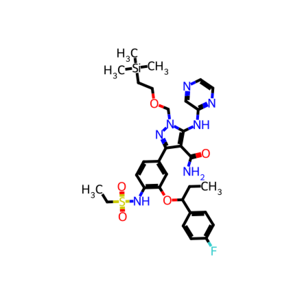 CCC(Oc1cc(-c2nn(COCC[Si](C)(C)C)c(Nc3cnccn3)c2C(N)=O)ccc1NS(=O)(=O)CC)c1ccc(F)cc1